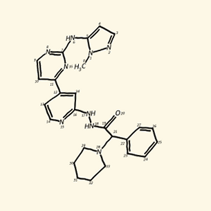 Cn1nccc1Nc1nccc(-c2ccnc(NNC(=O)C(c3ccccc3)N3CCCCC3)c2)n1